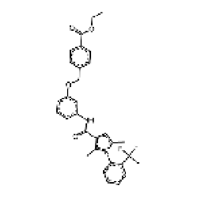 CCOC(=O)c1ccc(COc2cccc(NC(=O)c3cc(C)n(-c4ccccc4C(F)(F)F)c3C)c2)cc1